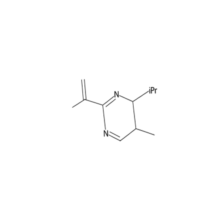 C=C(C)C1=NC(C(C)C)C(C)C=N1